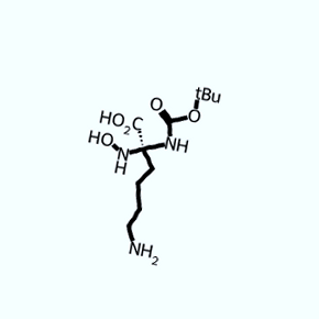 CC(C)(C)OC(=O)N[C@@](CCCCN)(NO)C(=O)O